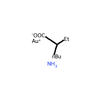 CCCCC(CC)C(=O)[O-].N.[Au+]